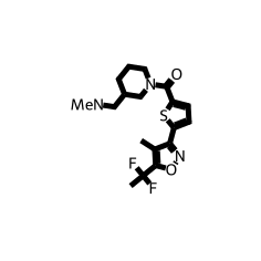 CNCC1CCCN(C(=O)c2ccc(-c3noc(C(C)(F)F)c3C)s2)C1